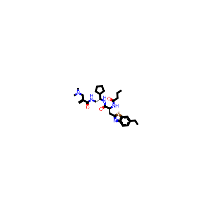 C=C(CN(C)C)C(=O)NC[C@@H](NC(=O)[C@H](Cc1nc2ccc(CC)cc2s1)NC(=O)CCC)C1CCCC1